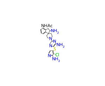 CC(=O)Nc1cccc2c1C[C@@H](N)C21CCN(c2cnc(Sc3ccnc(N)c3Cl)c(N)n2)CC1